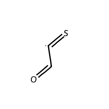 O=C[C]=S